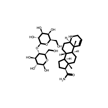 C[C@]12C=CCN[C@@H]1CC[C@@H]1[C@@H]2CC[C@]2(C)[C@@H](C(N)=O)CC[C@@H]12.OC[C@H]1O[C@@H](O[C@H]2[C@H](O)[C@@H](O)[C@H](O)O[C@@H]2CO)[C@H](O)[C@@H](O)[C@H]1O